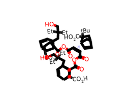 CC(C)(C)C1(C(=O)O)CC2C=CC1C2.CCC(CC)(CO)CC12C=CC(CC1)C(C(=O)O)C2C(=O)OC(=O)/C=C\C(=O)OC(=O)C1C(C(=O)O)C2C=CC1(CC(CC)(CC)CO)CC2